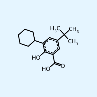 CC(C)(C)c1cc(C(=O)O)c(O)c(C2CCCCC2)c1